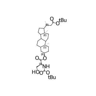 C[C@H](CC(=O)OC(C)(C)C)C1CCC2C3CCC4C[C@H](OC(=O)[C@H](CO)NC(=O)OC(C)(C)C)CC[C@]4(C)C3CC[C@@]21C